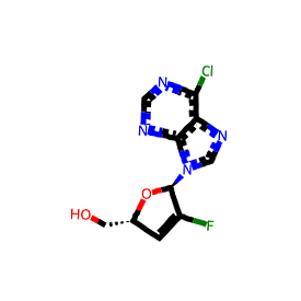 OC[C@H]1C=C(F)[C@H](n2cnc3c(Cl)ncnc32)O1